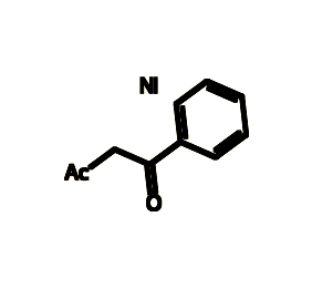 CC(=O)CC(=O)c1ccccc1.[Ni]